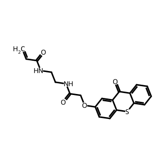 C=CC(=O)NCCNC(=O)COc1ccc2sc3ccccc3c(=O)c2c1